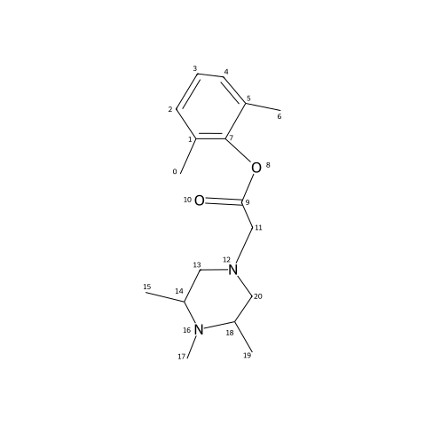 Cc1cccc(C)c1OC(=O)CN1CC(C)N(C)C(C)C1